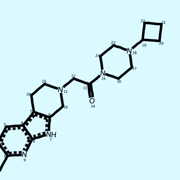 Cc1ccc2c3c([nH]c2n1)CN(CC(=O)N1CCN(C2CCC2)CC1)CC3